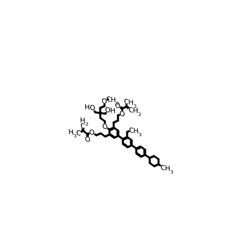 C=C(C)C(=O)OCCCc1cc(-c2ccc(-c3ccc(C4CCC(C)CC4)cc3)cc2CC)cc(CCCOC(=O)C(=C)C)c1OCCC(CO)(CO)CCOC